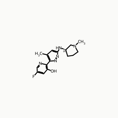 Cc1cc(N[C@@H]2CCCN(C)C2)nnc1-c1ncc(F)cc1O